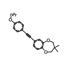 CCCOc1ccc(C#Cc2ccc3c(c2)OCC(C)(C)CO3)cc1